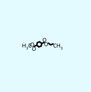 CCCCOC(=O)C1CCC(C(=O)OC)CC1